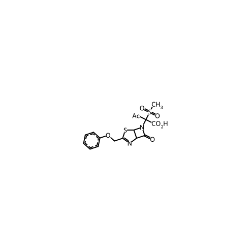 CC(=O)C(C(=O)O)(N1C(=O)C2N=C(COc3ccccc3)SC21)S(C)(=O)=O